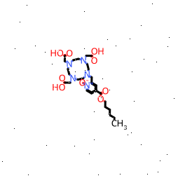 CCCCCCOC(=O)c1cc[n+]([O-])c(CN2CCN(CC(=O)O)CCN(CC(=O)O)CCN(CC(=O)O)CC2)c1